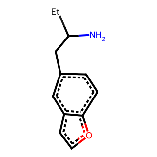 CCC(N)Cc1ccc2occc2c1